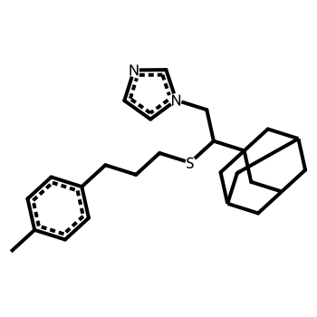 Cc1ccc(CCCSC(Cn2ccnc2)C23CC4CC(CC(C4)C2)C3)cc1